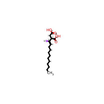 CCCCCCCCCCC=C(I)C(CC(=O)O)C(=O)O